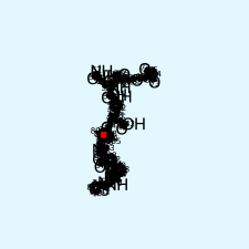 Cc1c(Nc2nc3ccccc3s2)nnc2c1CCCN2c1ccc(-c2cnn(CC34CC5(OCC[N+](C)(CCC(=O)O)Cc6ccc(NC(=O)[C@H](CCCNC(N)=O)NC(=O)[C@@H](NC(=O)CCOCCN7C(=O)C=CC7=O)C(C)C)cc6)C[C@](C)(C3)C[C@](C)(C4)C5)c2C)c(C(=O)O)n1